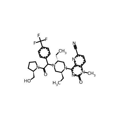 CC[C@H]1CN(C(C(=O)N2CCC[C@@H]2CO)c2ccc(C(F)(F)F)cc2)[C@H](CC)CN1c1nc(=O)n(C)c2ccc(C#N)nc12